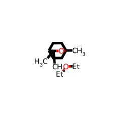 CC12CCC(CC1)C(C)(C)O2.CCOCC